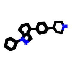 c1ccc(-n2ncc3c(-c4ccc(C5CCNCC5)cc4)cccc32)cc1